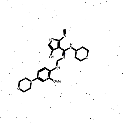 C=Nc1[nH]cc(C#N)c1/C(=N\CNc1ccc(N2CCOCC2)cc1OC)NC1CCOCC1